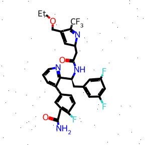 CCOCC1=CC(CC(=O)N[C@@H](Cc2cc(F)cc(F)c2)c2ncccc2-c2ccc(F)c(C(N)=O)c2)N=C1C(F)(F)F